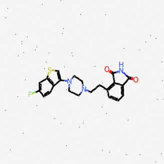 O=C1NC(=O)c2c(CCN3CCN(c4csc5cc(F)ccc45)CC3)cccc21